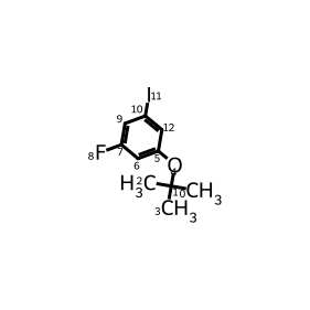 CC(C)(C)Oc1cc(F)cc(I)c1